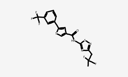 CC(F)(F)Cc1nsc(NC(=O)c2csc(-c3cccc(C(F)(F)F)c3)c2)n1